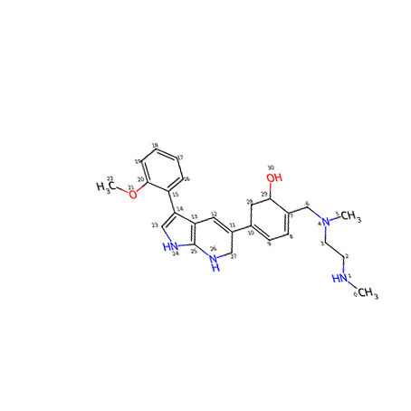 CNCCN(C)CC1=CC=C(C2=Cc3c(-c4ccccc4OC)c[nH]c3NC2)CC1O